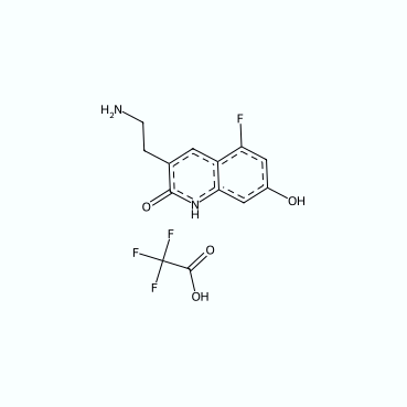 NCCc1cc2c(F)cc(O)cc2[nH]c1=O.O=C(O)C(F)(F)F